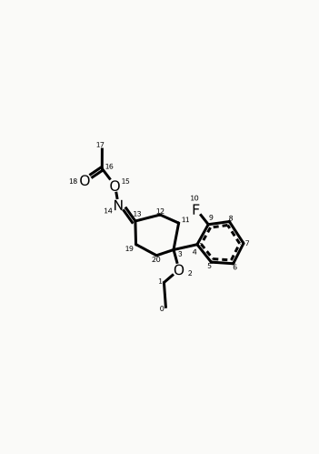 CCOC1(c2ccccc2F)CCC(=NOC(C)=O)CC1